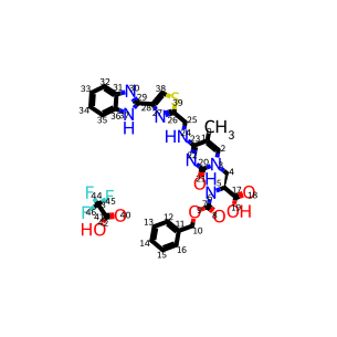 Cc1cn(C[C@H](NC(=O)OCc2ccccc2)C(=O)O)c(=O)nc1NCc1nc(-c2nc3ccccc3[nH]2)cs1.O=C(O)C(F)(F)F